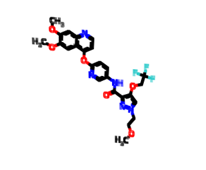 COCCn1cc(OCC(F)(F)F)c(C(=O)Nc2ccc(Oc3ccnc4cc(OC)c(OC)cc34)nc2)n1